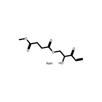 C=CC(=O)C(O)COC(=O)CCC(=O)OC.[NaH]